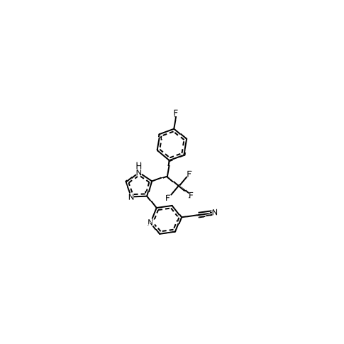 N#Cc1ccnc(-c2nc[nH]c2C(c2ccc(F)cc2)C(F)(F)F)c1